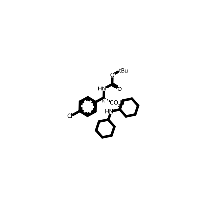 C1CCC(NC2CCCCC2)CC1.CC(C)(C)OC(=O)N[C@H](C(=O)O)c1ccc(Cl)cc1